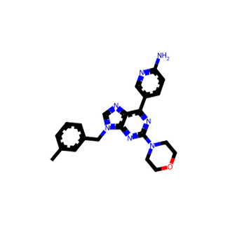 Cc1cccc(Cn2cnc3c(-c4ccc(N)nc4)nc(N4CCOCC4)nc32)c1